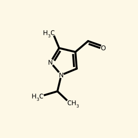 Cc1nn(C(C)C)cc1C=O